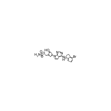 NS(=O)(=O)OC[C@@H]1C[C@@H](n2ccc3c(N[C@H]4CCc5c(Br)cccc54)ncnc32)C[C@@H]1O